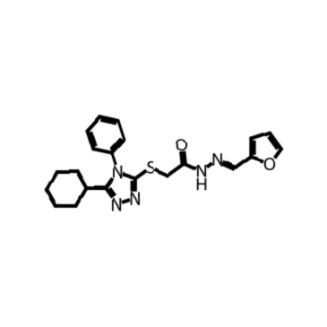 O=C(CSc1nnc(C2CCCCC2)n1-c1ccccc1)N/N=C/c1ccco1